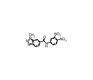 Cn1nnc2ccc(C(=O)Nc3ccc([N+](=O)[O-])c([N+](=O)[O-])c3)cc21